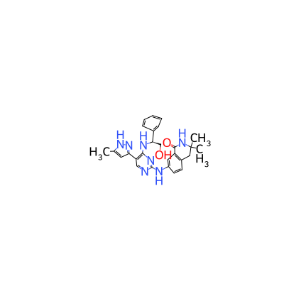 Cc1cc(-c2cnc(Nc3ccc4c(c3)C(=O)NC(C)(C)C4)nc2N[C@H](CO)c2ccccc2)n[nH]1